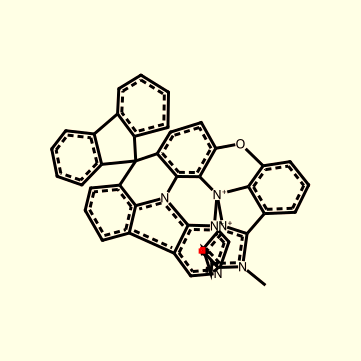 Cn1c2[n+](c3ccccc31)[N+]13c4c(cccc4-2)Oc2ccc4c(c21)-n1c2c(cccc2c2cnc[n+]3c21)C41c2ccccc2-c2ccccc21